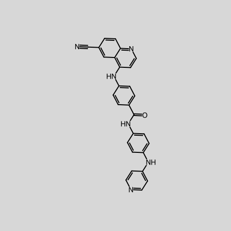 N#Cc1ccc2nccc(Nc3ccc(C(=O)Nc4ccc(Nc5ccncc5)cc4)cc3)c2c1